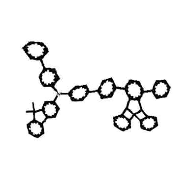 CC1(C)c2ccccc2-c2ccc(N(c3ccc(-c4ccccc4)cc3)c3ccc(-c4ccc(-c5ccc(-c6ccccc6)c6c5C5c7ccccc7C57c5ccccc5C67)cc4)cc3)cc21